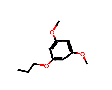 CCCOc1[c]c(OC)cc(OC)c1